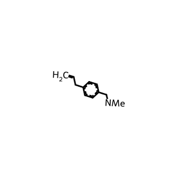 C=CCc1ccc(CNC)cc1